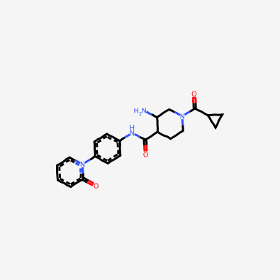 NC1CN(C(=O)C2CC2)CCC1C(=O)Nc1ccc(-n2ccccc2=O)cc1